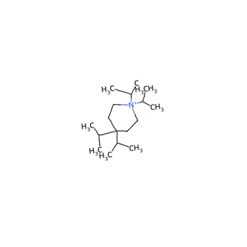 CC(C)C1(C(C)C)CC[N+](C(C)C)(C(C)C)CC1